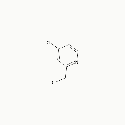 ClCc1cc(Cl)ccn1